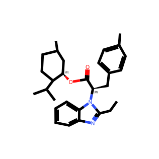 CCc1nc2ccccc2n1[C@H](Cc1ccc(C)cc1)C(=O)O[C@@H]1CC(C)CCC1C(C)C